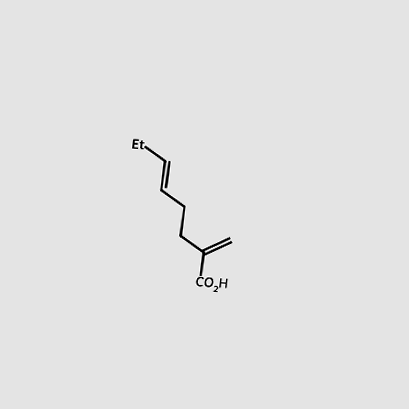 C=C(CCC=CCC)C(=O)O